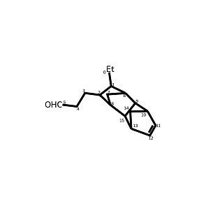 CCC1C(CCC=O)C2CC1C1C3C=CC(C3)C21